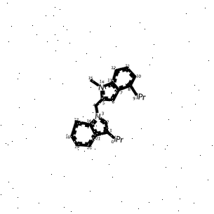 CC(C)c1cn(Cc2cc3c(C(C)C)cccc3n2C)c2ccccc12